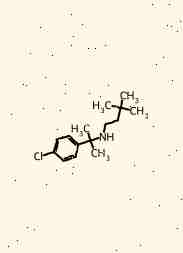 CC(C)(C)CCNC(C)(C)c1ccc(Cl)cc1